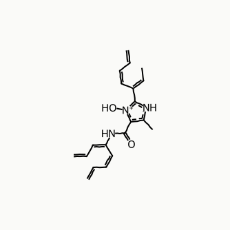 C=C/C=C\C(=C/C=C)NC(=O)c1c(C)[nH]c(C(/C=C\C=C)=C/C)[n+]1O